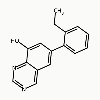 CCc1ccccc1-c1cc(O)c2ncncc2c1